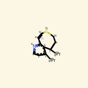 CC(C)c1ccnc2c1C(C(C)C)CCS/C=C\2